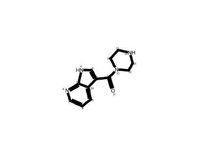 O=C(c1c[nH]c2ncccc12)N1CCNCC1